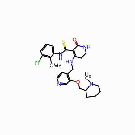 COc1c(Cl)cccc1NC(=S)C1=C(NCc2ccncc2OCC2CCCCN2C)CCNC1=O